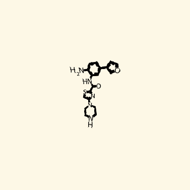 Nc1ccc(-c2ccoc2)cc1NC(=O)c1nc(N2CCNCC2)cs1